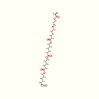 C=C(C)C(=O)OCCOOCCCCCC(=O)OCCCCCC(=O)OCCCCCC(=O)OCCCCCC=O